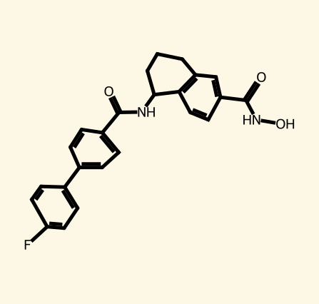 O=C(NO)c1ccc2c(c1)CCCC2NC(=O)c1ccc(-c2ccc(F)cc2)cc1